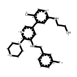 OCCNc1cc(-c2cnc(N3CCOCC3)c(NCc3cccc(F)c3)c2)c(Cl)cn1